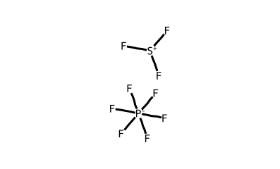 F[P-](F)(F)(F)(F)F.F[S+](F)F